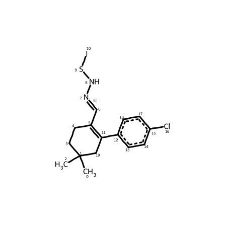 CC1(C)CCC(/C=N/NSI)=C(c2ccc(Cl)cc2)C1